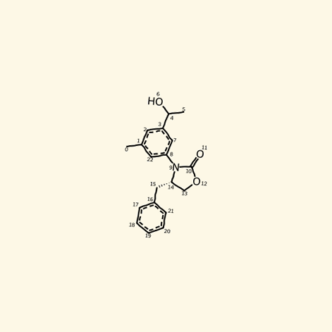 Cc1cc(C(C)O)cc(N2C(=O)OC[C@@H]2Cc2ccccc2)c1